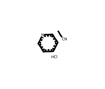 CC#N.Cl.c1ccncc1